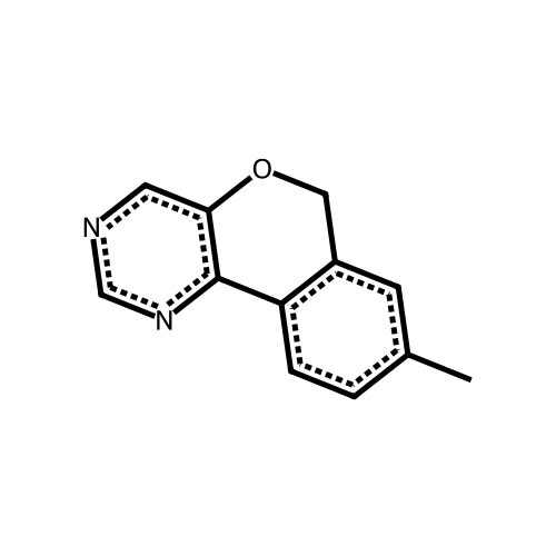 Cc1ccc2c(c1)COc1cncnc1-2